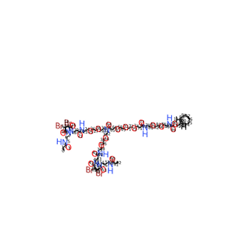 C=CC(=O)NCCCn1c(=O)c(Br)c(Br)c(=O)n1CCC(=O)NCCOCCOCCN(CCOCCOCCNC(=O)CCn1c(=O)c(Br)c(Br)c(=O)n1CCCNC(=O)C=C)C(=O)CCOCCOCCOCCC(=O)NCCOCCOCCNC(=O)OCC1[C@H]2CCC#CCC[C@@H]12